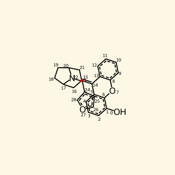 Oc1cccc2c1Oc1ccccc1C2=C1CC2CCC(C1)N2Cc1ccoc1